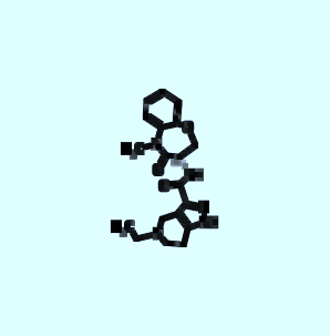 CCN1CCc2[nH]nc(C(=O)N[C@H]3COc4ccccc4N(C)C3=O)c2C1